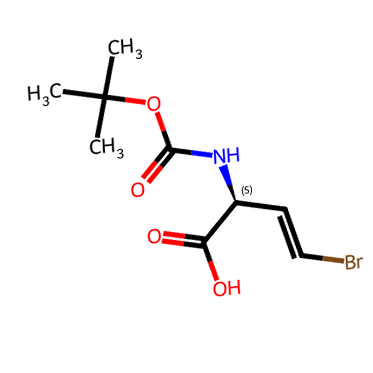 CC(C)(C)OC(=O)N[C@@H](C=CBr)C(=O)O